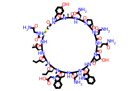 CCCC[C@H]1C(=O)N(C)[C@@H](CCCC)C(=O)N[C@@H](CC(C)C)C(O)N[C@H](C(=O)NCC(N)=O)CSCC(=O)N[C@@H](Cc2ccc(O)cc2)C(=O)N(C)[C@@H](C)C(=O)N[C@@H](CC(N)=O)C(=O)N2CCC[C@H]2C(=O)N[C@@H](CC(N)=O)C(=O)N[C@@H](CCC(N)=O)C(=O)N2C[C@H](O)C[C@H]2C(=O)N[C@@H](Cc2c[nH]c3ccccc23)C(=O)N[C@@H](CCN)C(=O)N[C@@H](Cc2cn(CC(=O)O)c3ccccc23)C(=O)N1C